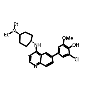 CCN(CC)[C@H]1CC[C@H](Nc2[c]cnc3ccc(-c4cc(Cl)c(O)c(OC)c4)cc23)CC1